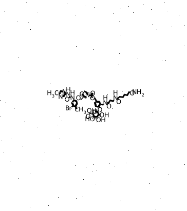 Cc1cnc(NC(=O)Nc2cc(Br)c(C)cc2OC[C@@H]2CN(C(=O)OCc3ccc(O[C@@H]4O[C@H](C(=O)O)[C@@H](O)[C@H](O)[C@H]4O)c(CNC(=O)CCNC(=O)CCCCCON)c3)CCO2)cn1